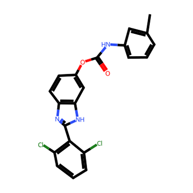 Cc1cccc(NC(=O)Oc2ccc3nc(-c4c(Cl)cccc4Cl)[nH]c3c2)c1